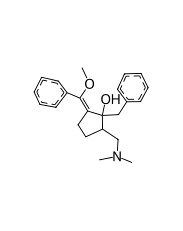 COC(=C1CCC(CN(C)C)C1(O)Cc1ccccc1)c1ccccc1